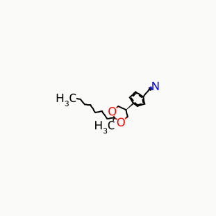 CCCCCCC[C@]1(C)OC[C@@H](c2ccc(C#N)cc2)CO1